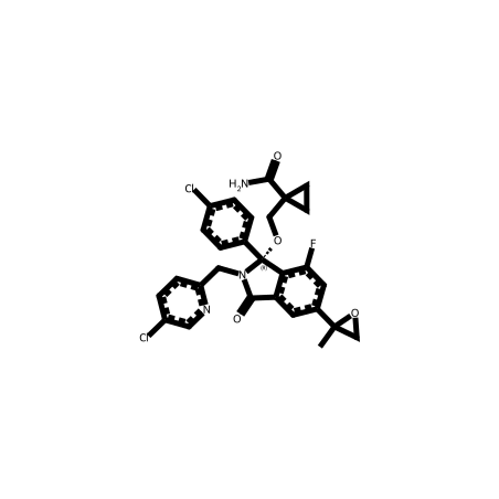 CC1(c2cc(F)c3c(c2)C(=O)N(Cc2ccc(Cl)cn2)[C@@]3(OCC2(C(N)=O)CC2)c2ccc(Cl)cc2)CO1